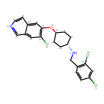 Clc1ccc(CN[C@H]2CC[C@H](Oc3cc4ccncc4cc3Cl)CC2)c(Cl)c1